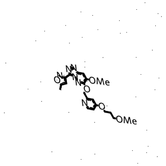 COCCCOc1ccnc(COc2nn3c(-c4cc(C)on4)nnc3cc2OC)c1